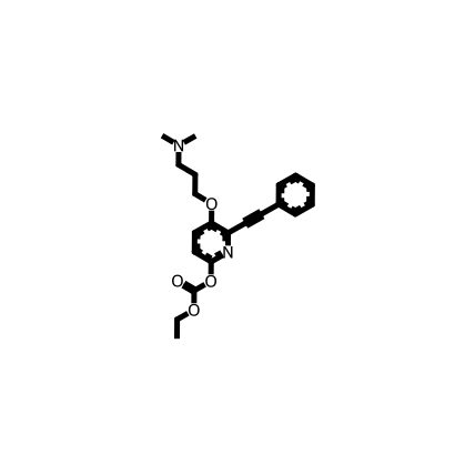 CCOC(=O)Oc1ccc(OCCCN(C)C)c(C#Cc2ccccc2)n1